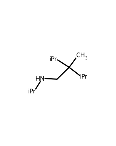 CC(C)NCC(C)(C(C)C)C(C)C